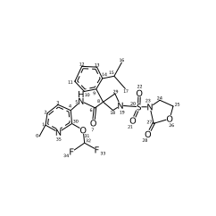 Cc1ccc(NC(=O)C2(c3ccccc3C(C)C)CN(S(=O)(=O)N3CCOC3=O)C2)c(OC(F)F)n1